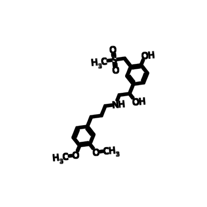 COc1ccc(CCCNCC(O)c2ccc(O)c(CS(C)(=O)=O)c2)cc1OC